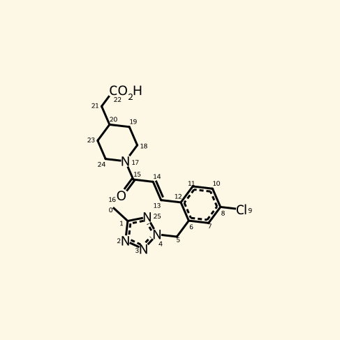 Cc1nnn(Cc2cc(Cl)ccc2C=CC(=O)N2CCC(CC(=O)O)CC2)n1